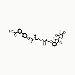 O=C(COc1ccc(-c2cccc(C(=O)O)c2)cc1)NCCCCNC(=O)COc1cccc2c1C(=O)N(C1CCC(=O)NC1=O)C2=O